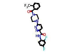 O=C(Nc1ccc(F)cc1F)c1ccc(N2CCN(C(=O)c3ccccc3C(F)(F)F)CC2)nn1